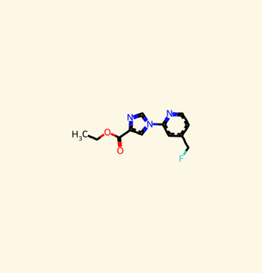 CCOC(=O)c1cn(-c2cc(CF)ccn2)cn1